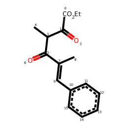 CCOC(=O)C(=O)C(C)C(=O)/C(C)=C/c1ccccc1